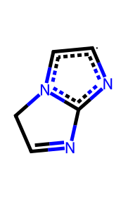 [c]1cn2c(n1)N=CC2